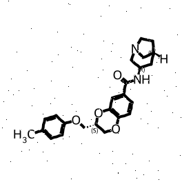 Cc1ccc(OC[C@H]2COc3ccc(C(=O)N[C@@H]4C[C@H]5CCN(C5)C4)cc3O2)cc1